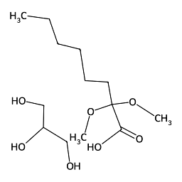 CCCCCCC(OC)(OC)C(=O)O.OCC(O)CO